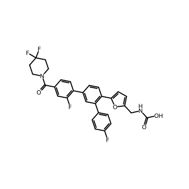 O=C(O)NCc1ccc(-c2ccc(-c3ccc(C(=O)N4CCC(F)(F)CC4)cc3F)cc2-c2ccc(F)cc2)o1